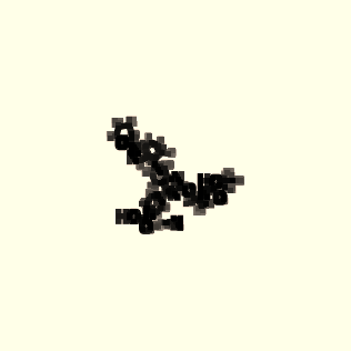 Cc1ccc2c(cnn2C2CCCCO2)c1N1CCc2c(nc(OCC3(NC(=O)OC(C)(C)C)CC3)nc2N2CCN(C(=O)O)[C@@H](CC#N)C2)C1